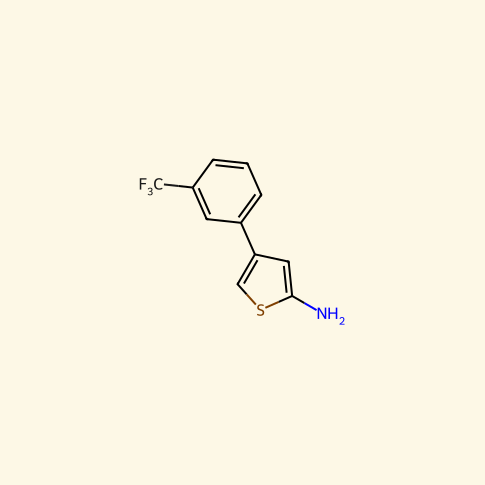 Nc1cc(-c2cccc(C(F)(F)F)c2)cs1